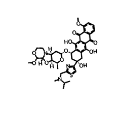 COc1cccc2c1C(=O)c1c(O)c3c(c(O)c1C2=O)C[C@@](O)(c1csc(CN(C)C(C)C)n1)C[C@@H]3O[C@H]1C[C@H]2[C@H](O[C@@H]3[C@@H](OC)OCCN32)[C@H](C)O1